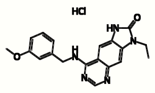 CCn1c(=O)[nH]c2cc3c(NCc4cccc(OC)c4)ncnc3cc21.Cl